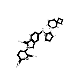 O=C1CCC(N2Cc3cc(O[C@@H]4CCC[C@H]4N4CCCC5(CCC5)C4)ccc3C2=O)C(=O)N1